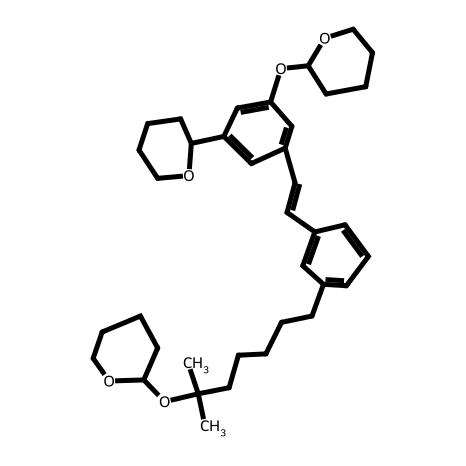 CC(C)(CCCCCc1cccc(C=Cc2cc(OC3CCCCO3)cc(C3CCCCO3)c2)c1)OC1CCCCO1